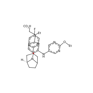 CCOc1ncc(Nc2cc(C(CC)CC(=O)O)ccc2N2C3CC[C@H]2CC(c2ccc(F)cc2)C3)cn1